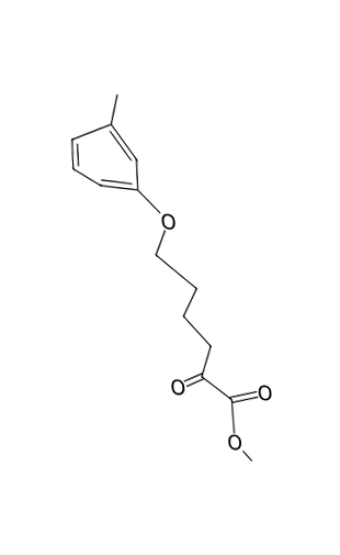 COC(=O)C(=O)CCCCOc1cccc(C)c1